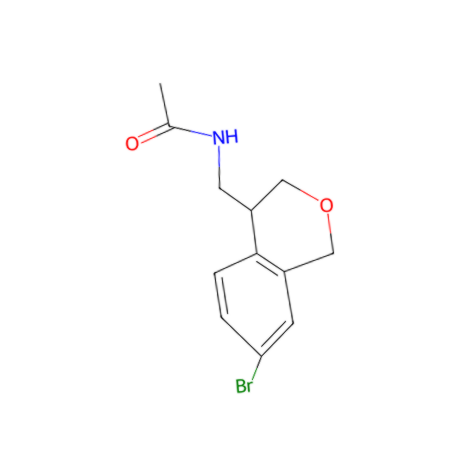 CC(=O)NCC1COCc2cc(Br)ccc21